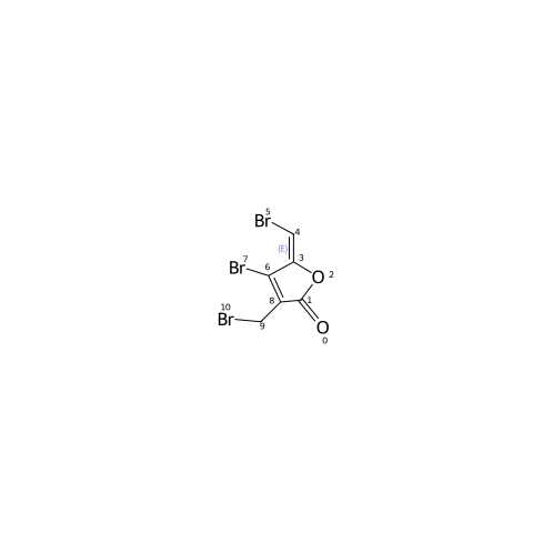 O=C1O/C(=C/Br)C(Br)=C1CBr